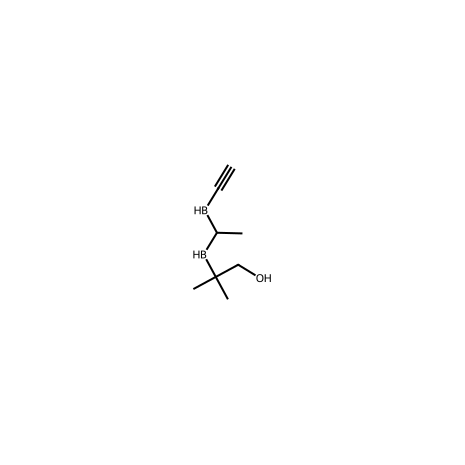 C#CBC(C)BC(C)(C)CO